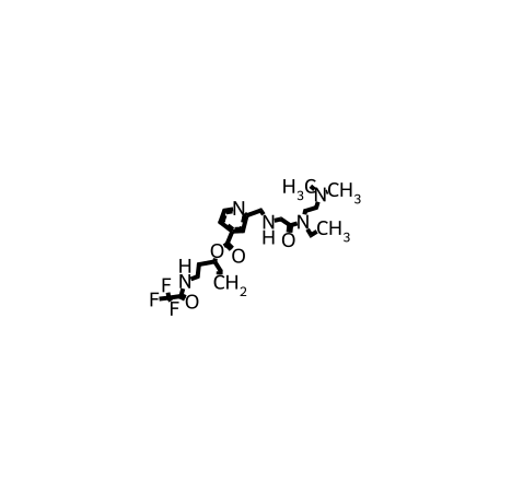 C=CC(CCNC(=O)C(F)(F)F)OC(=O)c1ccnc(CNCC(=O)N(CC)CCN(C)C)c1